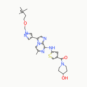 Cc1cn2c(-c3cnn(COCC[Si](C)(C)C)c3)cnc2c(Nc2cc(C(=O)N3CCC(O)CC3)cs2)n1